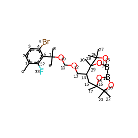 Cc1ccc(Br)c(C(C)(C)OCOCC2CC3(C)OB(OC3(C)C)B3OC(C)(C)C2(C)O3)c1F